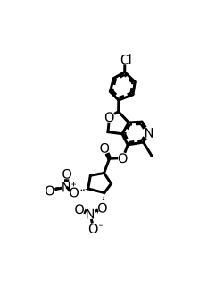 Cc1ncc2c(c1OC(=O)C1C[C@H](O[N+](=O)[O-])[C@H](O[N+](=O)[O-])C1)COC2c1ccc(Cl)cc1